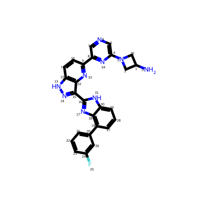 NC1CN(c2cncc(-c3ccc4[nH]nc(-c5nc6c(-c7cccc(F)c7)cccc6[nH]5)c4n3)n2)C1